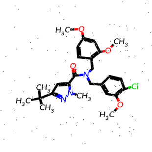 COc1ccc(CN(Cc2ccc(Cl)c(OC)c2)C(=O)c2cc(C(C)(C)C)nn2C)c(OC)c1